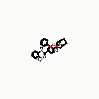 Nc1ccccc1NC(=O)c1ccc(N2CC3CCC(C2)N3C(=O)OCc2ccccc2)nc1